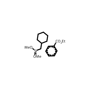 CCOC(=O)c1ccccc1.CO[SiH](CC1CCCCC1)OC